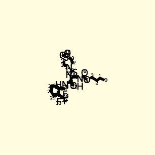 CCCCOC(=O)Nc1sc(N2CCS(=O)(=O)CC2)nc1C(=O)NCc1ccccc1C(F)(F)F